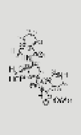 COC(=O)C(NS(=O)(=O)c1ccc(NC(=O)c2ccccc2C)c(C)c1)C1CCNCC1.Cl